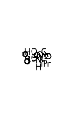 CC(C)CC(NC(=O)OCC1c2ccccc2-c2ccccc21)C(=O)N1C(C(=O)O)COC1(C)C